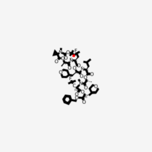 CC(C)C[C@@H](C(=O)O[C@H](C)C(=O)N(C)[C@@H](CC(C)(C)F)C(=O)O[C@H](CC1=CCOCC1)C(=O)OCc1ccccc1)N(C)C(=O)[C@@H](CC1CCOCC1)OC(=O)[C@H](CC(C)(C)F)N(C)C(=O)[C@@H](C)OC(=O)C1(N(C)C(=O)OC(C)(C)C)CC1